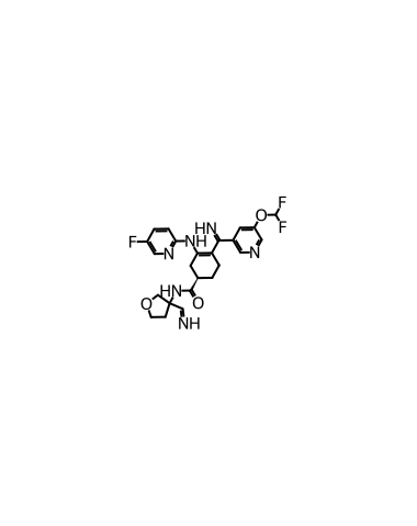 N=CC1(NC(=O)[C@@H]2CCC(C(=N)c3cncc(OC(F)F)c3)=C(Nc3ccc(F)cn3)C2)CCOC1